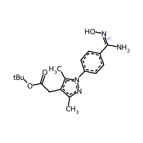 Cc1nn(-c2ccc(/C(N)=N\O)cc2)c(C)c1CC(=O)OC(C)(C)C